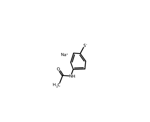 CC(=O)Nc1ccc([S-])cc1.[Na+]